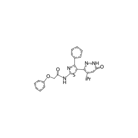 CC(C)c1cc(=O)[nH]nc1-c1sc(NC(=O)COc2ccccc2)nc1-c1ccccc1